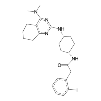 CN(C)c1nc(N[C@H]2CC[C@@H](NC(=O)Cc3ccccc3I)CC2)nc2c1CCCC2